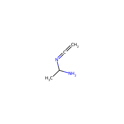 C=C=NC(C)N